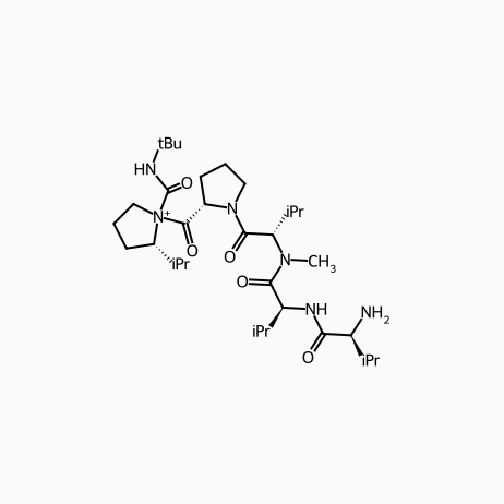 CC(C)[C@H](N)C(=O)N[C@H](C(=O)N(C)[C@H](C(=O)N1CCC[C@H]1C(=O)[N+]1(C(=O)NC(C)(C)C)CCC[C@H]1C(C)C)C(C)C)C(C)C